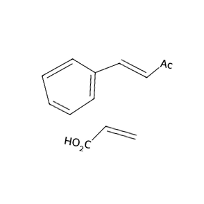 C=CC(=O)O.CC(=O)C=Cc1ccccc1